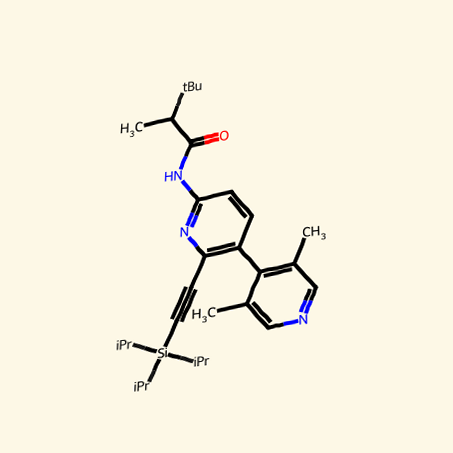 Cc1cncc(C)c1-c1ccc(NC(=O)C(C)C(C)(C)C)nc1C#C[Si](C(C)C)(C(C)C)C(C)C